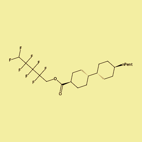 CCCCC[C@H]1CC[C@H]([C@H]2CC[C@H](C(=O)OCC(F)(F)C(F)(F)C(F)(F)C(F)F)CC2)CC1